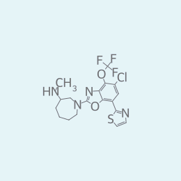 CNC1CCCCN(c2nc3c(OC(F)(F)F)c(Cl)cc(-c4nccs4)c3o2)C1